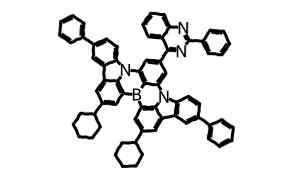 c1ccc(-c2ccc3c(c2)c2cc(C4CCCCC4)cc4c2n3-c2cc(-c3nc(-c5ccccc5)nc5ccccc35)cc3c2B4c2cc(C4CCCCC4)cc4c5cc(-c6ccccc6)ccc5n-3c24)cc1